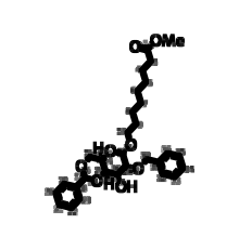 COC(=O)CCCCCCCCO[C@H]1O[C@@H]2COC(c3ccccc3)O[C@H]2[C@H](O)[C@H]1OCc1ccccc1